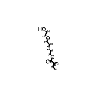 C/C=C(\C)C(=O)OCCOCCOCCO